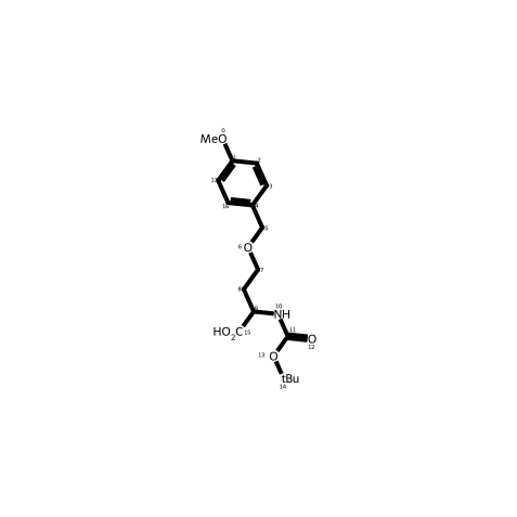 COc1ccc(COCCC(NC(=O)OC(C)(C)C)C(=O)O)cc1